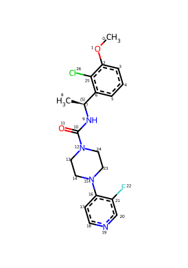 COc1cccc([C@H](C)NC(=O)N2CCN(c3ccncc3F)CC2)c1Cl